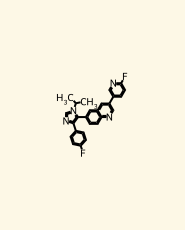 CC(C)n1cnc(-c2ccc(F)cc2)c1-c1ccc2ncc(-c3ccc(F)nc3)cc2c1